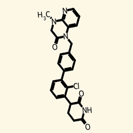 CN1CC(=O)N(Cc2ccc(-c3cccc(C4CCC(=O)NC4=O)c3Cl)cc2)c2cccnc21